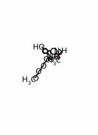 CC[C@H]1C[C@H]2C[C@H]3c4c(c5cc(O)ccc5n4C(=O)OCCOCCOCCOC)CCN(C2)C13